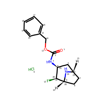 Cl.O=C(N[C@H]1C[C@@H]2CC[C@@H](N2)[C@H]1F)OCc1ccccc1